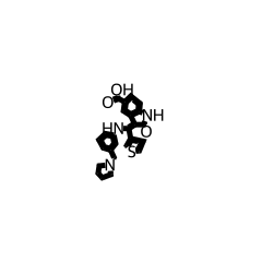 O=C1Nc2ccc(C(=O)O)cc2C1=C(Nc1cccc(CN2CCCC2)c1)c1ccsc1